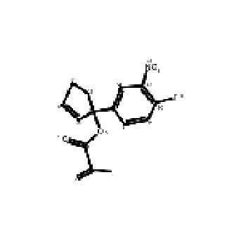 C=C(C)C(=O)OC1(c2ccc(F)c([N+](=O)[O-])c2)C=CCC1